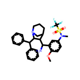 COc1ccc(N(C)S(=O)(=O)C(F)(F)F)cc1C(N)C1C2CCCN(C2)C1C(c1ccccc1)c1ccccc1